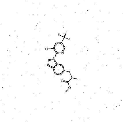 COC(=O)C(C)Oc1ccc2ccn(-c3ncc(C(F)(F)F)cc3Cl)c2c1